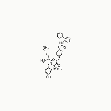 CCCCCN(C(=O)CCN1CCC(OC(=O)Nc2ccccc2-c2ccccc2)CC1)N(Cc1ccc(O)cc1)C(=O)[C@@H](N)CCCCN